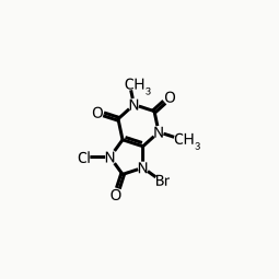 Cn1c(=O)c2c(n(C)c1=O)n(Br)c(=O)n2Cl